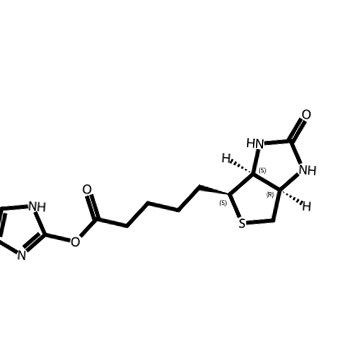 O=C1N[C@H]2[C@H](CS[C@H]2CCCCC(=O)Oc2ncc[nH]2)N1